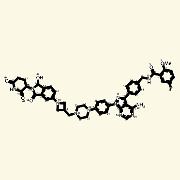 COc1ccc(F)cc1C(=O)NCc1ccc(-c2nn(-c3ccc(N4CCN(CC5CN(c6ccc7c(c6)C(=O)N(C6CCC(=O)NC6=O)C7O)C5)CC4)cc3)c3ncnc(N)c23)cc1